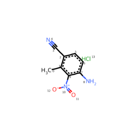 Cc1c(C#N)ccc(N)c1[N+](=O)[O-].Cl